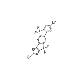 FC1(F)c2cc3c(cc2-c2sc(Br)cc21)C(F)(F)c1cc(Br)sc1-3